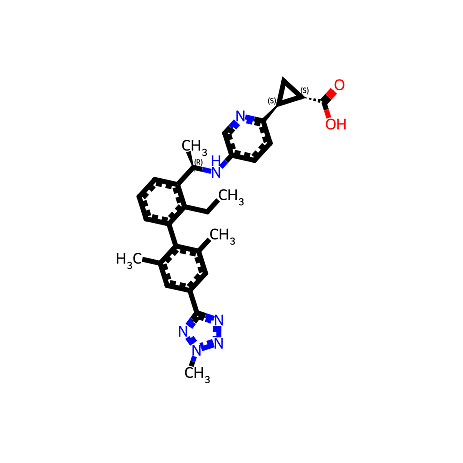 CCc1c(-c2c(C)cc(-c3nnn(C)n3)cc2C)cccc1[C@@H](C)Nc1ccc([C@H]2C[C@@H]2C(=O)O)nc1